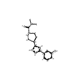 CN(C)C(=O)N1CCC(c2nc(-c3cccc(Cl)c3)no2)CC1